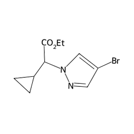 CCOC(=O)C(C1CC1)n1cc(Br)cn1